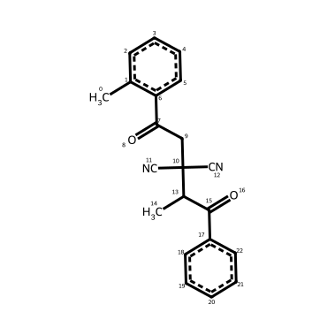 Cc1ccccc1C(=O)CC(C#N)(C#N)C(C)C(=O)c1ccccc1